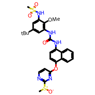 COc1c(NC(=O)Nc2ccc(Oc3ccnc([S+](C)[O-])n3)c3ccccc23)cc(C(C)(C)C)cc1NS(C)(=O)=O